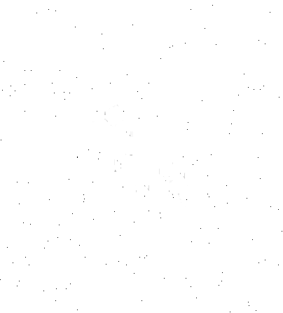 Cc1ccc(F)c2c1NC(C(=O)N[C@@H]1CCC[C@@H](N3CCN4C(=O)CN(C)C(=O)[C@H]4C3)C1)C2